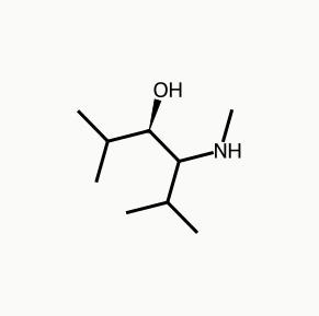 CNC(C(C)C)[C@H](O)C(C)C